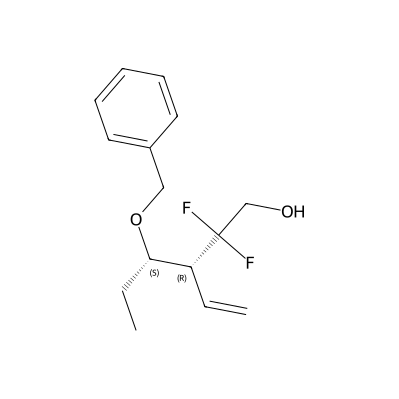 C=C[C@H]([C@H](CC)OCc1ccccc1)C(F)(F)CO